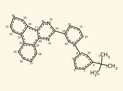 CC(C)(C)c1cccc(-c2cccc(-c3ncc4c5ccccc5c5ccccc5c4n3)c2)c1